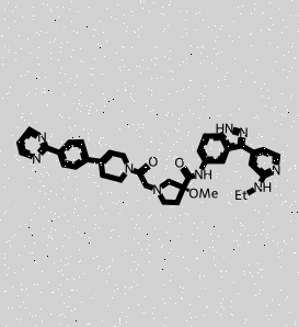 CCNc1cc(-c2n[nH]c3ccc(NC(=O)[C@]4(OC)CCN(CC(=O)N5CC=C(c6ccc(-c7ncccn7)cc6)CC5)C4)cc23)ccn1